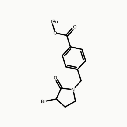 CC(C)(C)OC(=O)c1ccc(CN2CCC(Br)C2=O)cc1